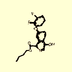 CCCCOC(=O)c1ncc(O)c2ccc(Oc3cccc(F)c3F)cc12